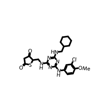 COc1ccc(Nc2nc(NCC3CCCCC3)nc(NCC3SC(=O)CC3=O)n2)cc1Cl